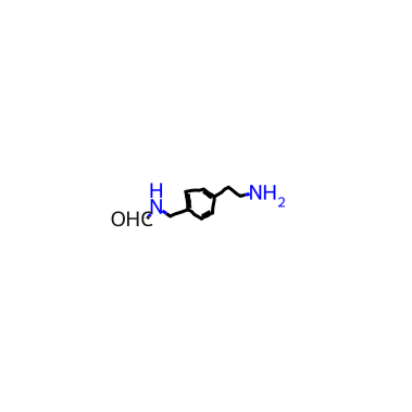 NCCc1ccc(CNC=O)cc1